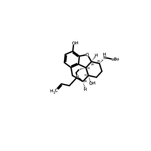 C=CCN1CC[C@]23c4c5ccc(O)c4O[C@H]2[C@H](NCCCC)CC[C@@]3(O)[C@H]1C5